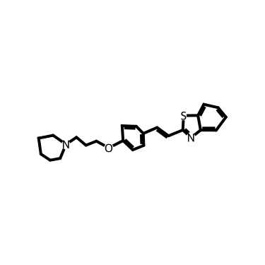 C(=Cc1nc2ccccc2s1)c1ccc(OCCCN2CCCCC2)cc1